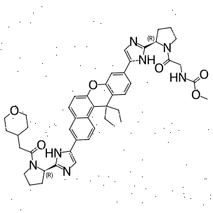 CCC1(CC)c2ccc(-c3cnc([C@H]4CCCN4C(=O)CNC(=O)OC)[nH]3)cc2Oc2ccc3cc(-c4cnc([C@H]5CCCN5C(=O)CC5CCOCC5)[nH]4)ccc3c21